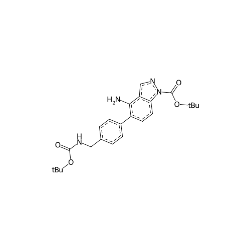 CC(C)(C)OC(=O)NCc1ccc(-c2ccc3c(cnn3C(=O)OC(C)(C)C)c2N)cc1